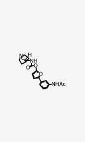 CC(=O)Nc1cccc(-c2ccc(OC(=O)N[C@H]3CN4CCC3CC4)o2)c1